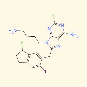 NCCCCn1c(Cc2cc3c(cc2I)CCC3F)nc2c(N)nc(F)nc21